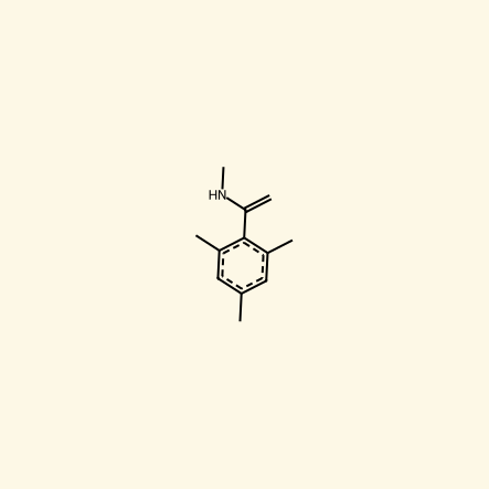 C=C(NC)c1c(C)cc(C)cc1C